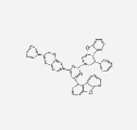 c1ccc(-c2ccc3cc(-c4cc(-c5cccc6oc7ccccc7c56)nc(-c5cc(-c6ccccc6)c6c(c5)oc5ccccc56)n4)ccc3c2)cc1